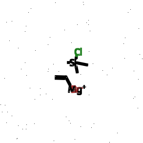 C=[CH][Mg+].C[Si](C)(C)Cl.[Br-]